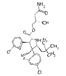 CC(C)(C)C[C@@H]1N[C@@H](C(=O)OC[C@@H](O)CC(N)=O)[C@H](c2cccc(Cl)c2)[C@@]1(C#N)c1ccc(Cl)cc1F